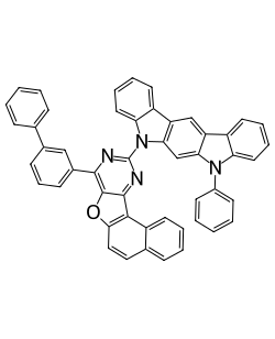 c1ccc(-c2cccc(-c3nc(-n4c5ccccc5c5cc6c7ccccc7n(-c7ccccc7)c6cc54)nc4c3oc3ccc5ccccc5c34)c2)cc1